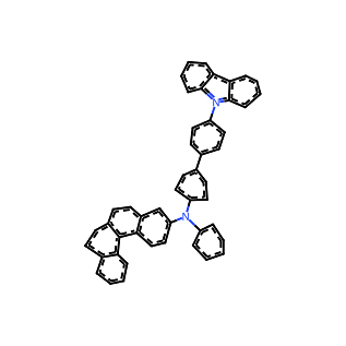 c1ccc(N(c2ccc(-c3ccc(-n4c5ccccc5c5ccccc54)cc3)cc2)c2ccc3c(ccc4ccc5ccccc5c43)c2)cc1